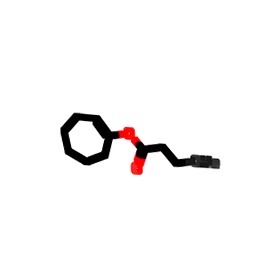 COCCC(=O)OC1=CCCCCC1